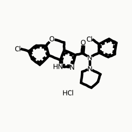 Cl.O=C(c1n[nH]c2c1COc1cc(Cl)ccc1-2)N(c1ccccc1Cl)N1CCCCC1